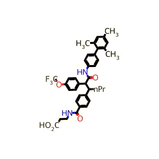 CCCC(c1ccc(C(=O)NCCC(=O)O)cc1)C(C(=O)Nc1ccc(-c2c(C)cc(C)cc2C)cc1)c1ccc(OC(F)(F)F)cc1